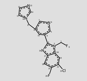 FCn1c(-c2cncc(Cn3ccnc3)c2)nc2cc(F)c(Cl)cc21